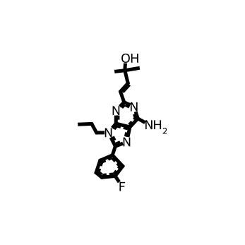 CCCn1c(-c2cccc(F)c2)nc2c(N)nc(C=CC(C)(C)O)nc21